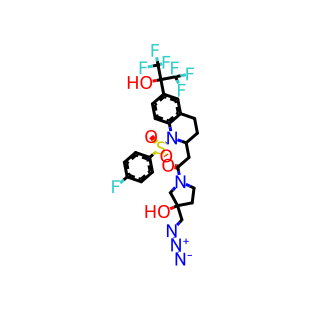 [N-]=[N+]=NCC1(O)CCN(C(=O)CC2CCc3cc(C(O)(C(F)(F)F)C(F)(F)F)ccc3N2S(=O)(=O)c2ccc(F)cc2)C1